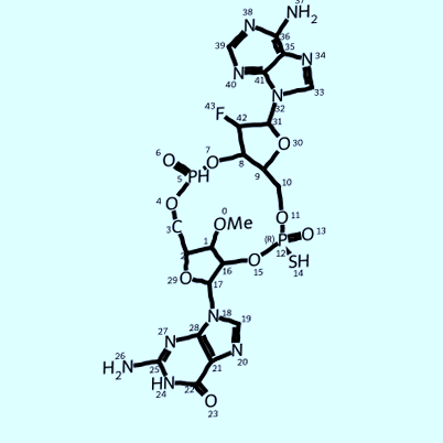 COC1C2CO[PH](=O)OC3C(CO[P@@](=O)(S)OC1C(n1cnc4c(=O)[nH]c(N)nc41)O2)OC(n1cnc2c(N)ncnc21)C3F